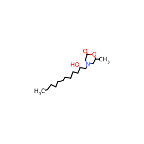 CCCCCCCCCCC(O)CN1CC(=O)OC(C)C1